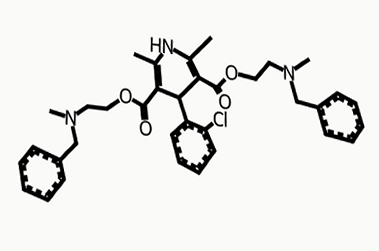 CC1=C(C(=O)OCCN(C)Cc2ccccc2)C(c2ccccc2Cl)C(C(=O)OCCN(C)Cc2ccccc2)=C(C)N1